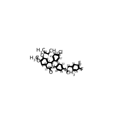 CC[C@@H](C)Oc1cc2c(cc1OC)CC(=O)N(c1ccc(N(C)Cc3ccc(F)c(F)c3)cc1)C2c1ccc(Cl)cc1